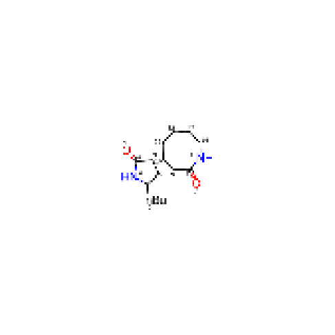 CCCCC1CCC(=O)N1.O=C1CCCCCCN1